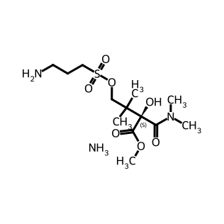 COC(=O)[C@@](O)(C(=O)N(C)C)C(C)(C)COS(=O)(=O)CCCN.N